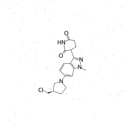 Cn1nc(C2CCC(=O)NC2=O)c2ccc(N3CC[C@@H](CCl)C3)cc21